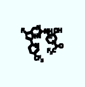 O=C(N1CC[C@@H](Nc2ncc3c(F)cc(-c4ccc(C(F)(F)F)cn4)n3n2)[C@H](O)C1)C(F)(F)F